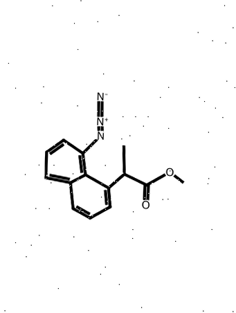 COC(=O)C(C)c1cccc2cccc(N=[N+]=[N-])c12